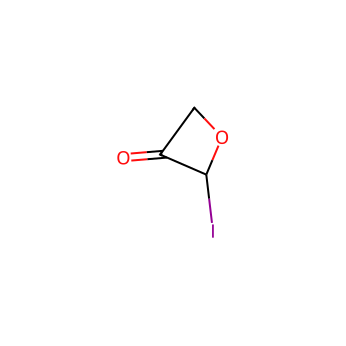 O=C1COC1I